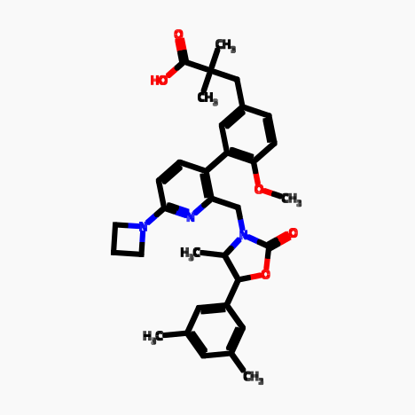 COc1ccc(CC(C)(C)C(=O)O)cc1-c1ccc(N2CCC2)nc1CN1C(=O)OC(c2cc(C)cc(C)c2)C1C